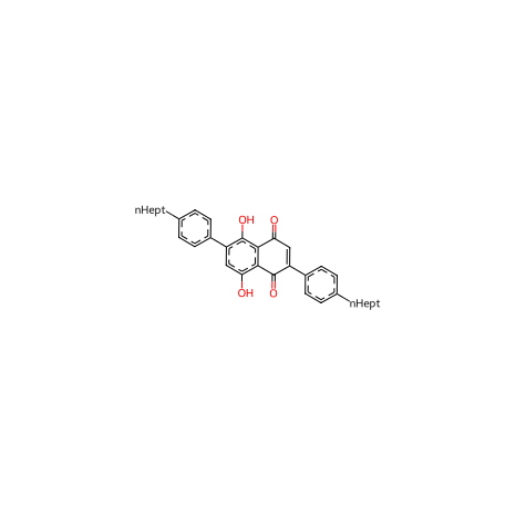 CCCCCCCc1ccc(C2=CC(=O)c3c(O)c(-c4ccc(CCCCCCC)cc4)cc(O)c3C2=O)cc1